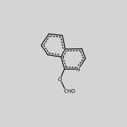 O=COc1nccc2ccccc12